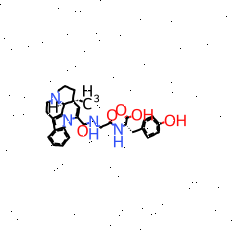 CC[C@@]12C=C(C(=O)NCC(=O)N[C@@H](Cc3ccc(O)cc3)C(=O)O)n3c4c(c5ccccc53)CCN(CCC1)[C@H]42